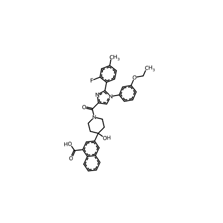 CCOc1cccc(-n2cc(C(=O)N3CCC(O)(c4cc(C(=O)O)c5ccccc5c4)CC3)nc2-c2ccc(C)cc2F)c1